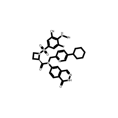 CC(C)Nc1c(F)cc(S(=O)(=O)N2CC[C@@H]2C(=O)N(Cc2ccc(C3CCCCC3)cn2)c2ccc3c(=O)[nH]ncc3c2)cc1C#N